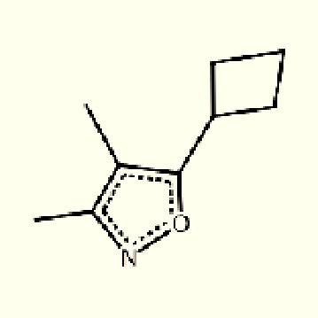 Cc1noc(C2CCC2)c1C